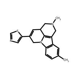 Cc1ccc2c(c1)c1c3n2CC(c2cncs2)=CC3CN(C)C1